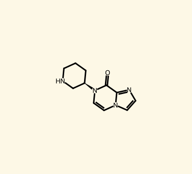 O=c1c2nccn2ccn1[C@@H]1CCCNC1